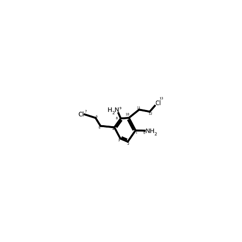 Nc1ccc(CCCl)c(N)c1CCCl